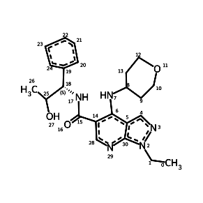 CCn1ncc2c(NC3CCOCC3)c(C(=O)N[C@@H](c3ccccc3)C(C)O)cnc21